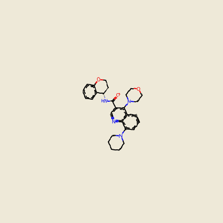 O=C(N[C@H]1CCOc2ccccc21)c1cnc2c(N3CCCCC3)cccc2c1N1CCOCC1